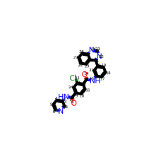 O=C(Nc1cccnc1)c1ccc(C(=O)Nc2cccc(-c3ncnc4ccccc34)c2)c(Cl)c1